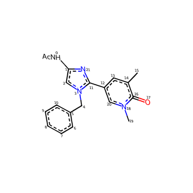 CC(=O)Nc1cn(Cc2ccccc2)c(-c2cc(C)c(=O)n(C)c2)n1